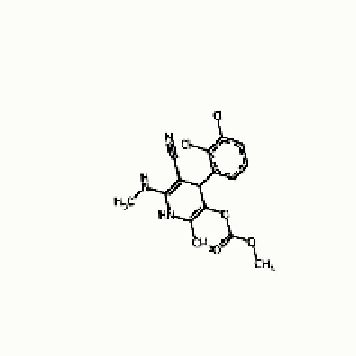 CNC1=C(C#N)C(c2cccc(Cl)c2Cl)C(OC(=O)OC)=C(C)N1